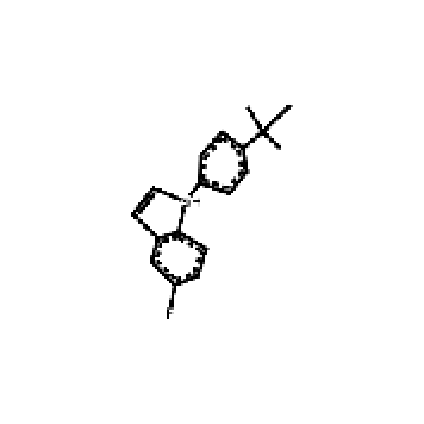 CC(C)(C)c1ccc([SiH]2C=Cc3cc(F)ccc32)cc1